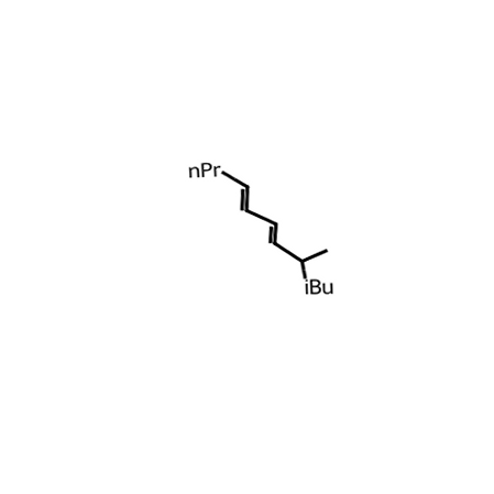 CCCC=CC=CC(C)C(C)CC